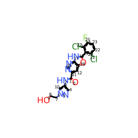 O=C(Nc1cnn(CCO)c1)c1cc2c(nn1)NC(c1c(Cl)ccc(F)c1Cl)O2